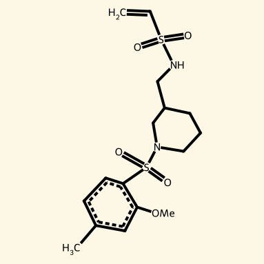 C=CS(=O)(=O)NCC1CCCN(S(=O)(=O)c2ccc(C)cc2OC)C1